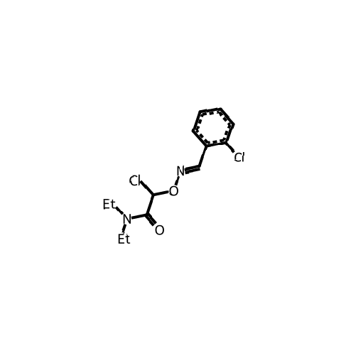 CCN(CC)C(=O)C(Cl)ON=Cc1ccccc1Cl